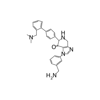 CN(C)Cc1ccccc1-c1ccc(C2NCc3ncn(-c4cccc(CN)c4)c3C2=O)cc1